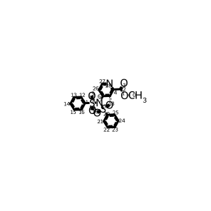 COC(=O)c1cc(N(S(=O)(=O)c2ccccc2)S(=O)(=O)c2ccccc2)ccn1